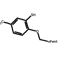 CCCCCCOc1ccc(C)cc1S